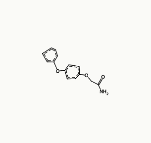 NC(=O)COc1ccc(Oc2ccccc2)cc1